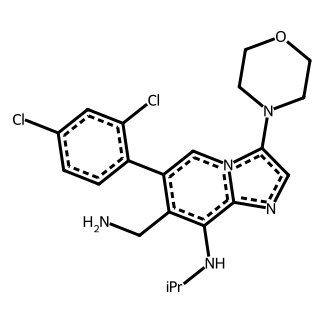 CC(C)Nc1c(CN)c(-c2ccc(Cl)cc2Cl)cn2c(N3CCOCC3)cnc12